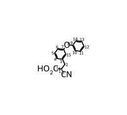 N#C[C@H](Cc1cccc(Oc2ccccc2)c1)C(=O)O